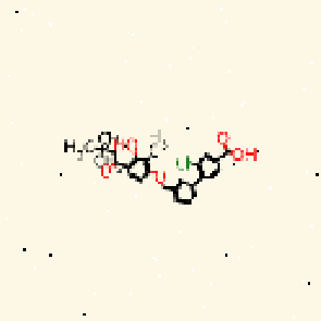 Cc1c(OCc2cccc(-c3ccc(C(=O)O)cc3Cl)c2)ccc(C(=O)CC(C)(C)C)c1O